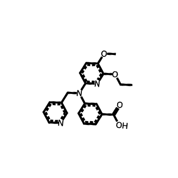 CCOc1nc(N(Cc2cccnc2)c2cccc(C(=O)O)c2)ccc1OC